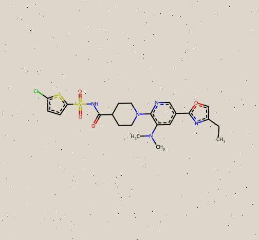 CCc1coc(-c2cnc(N3CCC(C(=O)NS(=O)(=O)c4ccc(Cl)s4)CC3)c(N(C)C)c2)n1